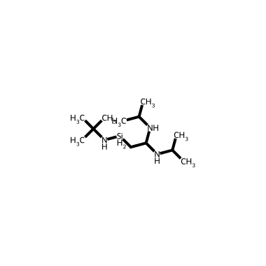 CC(C)NC(C[SiH2]NC(C)(C)C)NC(C)C